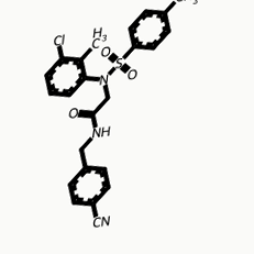 Cc1ccc(S(=O)(=O)N(CC(=O)NCc2ccc(C#N)cc2)c2cccc(Cl)c2C)cc1